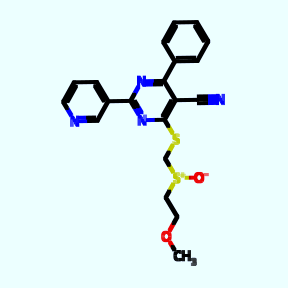 COCC[S+]([O-])CSc1nc(-c2cccnc2)nc(-c2ccccc2)c1C#N